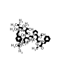 CC[C@H](C)[C@@H]([C@@H](CC(=O)N1CCC[C@H]1[C@H](OC)[C@@H](C)C(=O)N[C@@H](Cc1ccccc1)C(=O)OC)OC)N(C)C(=O)[C@@H](NC(=O)[C@H](C(C)C)N(C)CCc1ccc(OC(C)C)cc1)C(C)C